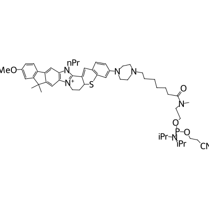 CCCn1c2[n+](c3cc4c(cc31)-c1ccc(OC)cc1C4(C)C)CCC1Sc3cc(N4CCN(CCCCCCC(=O)N(C)CCOP(OCCC#N)N(C(C)C)C(C)C)CC4)ccc3C=C21